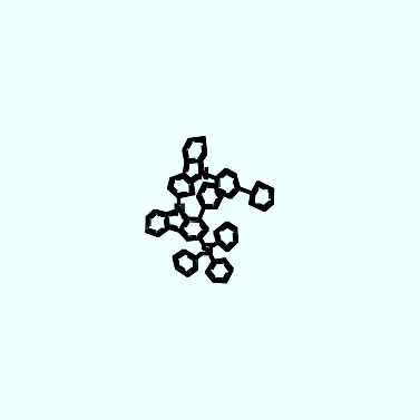 c1ccc(-c2ccc(-n3c4ccccc4c4ccc(-n5c6ccccc6c6cc([Si](c7ccccc7)(c7ccccc7)c7ccccc7)cc(-c7ccccc7)c65)cc43)cc2)cc1